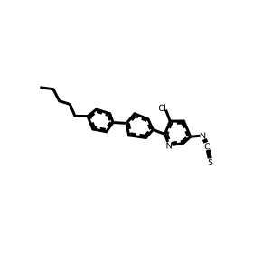 CCCCCc1ccc(-c2ccc(-c3ncc(N=C=S)cc3Cl)cc2)cc1